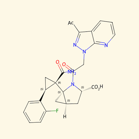 CC(=O)c1nn(CC(=O)N2[C@H](C(=O)O)C[C@H]3C[C@@]32[C@@]2(C(N)=O)C[C@@H]2c2ccccc2F)c2ncccc12